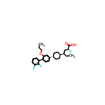 CCCOc1cc([C@H]2CC[C@H](C(CC)C[C@H](F)C(=O)O)CC2)ccc1-c1cccc(F)c1F